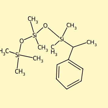 CC(c1ccccc1)[Si](C)(C)O[Si](C)(C)O[Si](C)(C)C